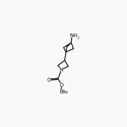 CC(C)(C)OC(=O)N1CC(C23CC(N)(C2)C3)C1